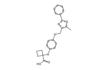 Cc1oc(-c2ccccc2)nc1COc1ccc(OC2(C(=O)O)CCC2)cc1